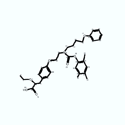 CCOC(Cc1ccc(OCCN(CCCCOc2ccccc2)C(=O)Oc2cc(C)c(C)cc2C)cc1)C(=O)O